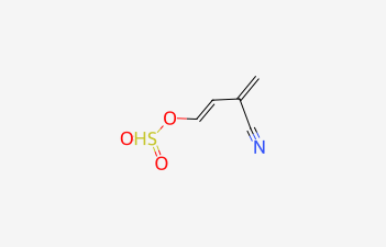 C=C(C#N)C=CO[SH](=O)=O